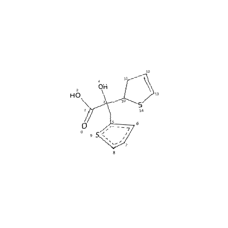 O=C(O)C(O)(c1cccs1)C1CC=CS1